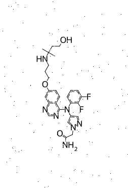 CC(C)(CCO)NCCCOc1ccc2c(N(c3cnn(CC(N)=O)c3)c3cccc(F)c3F)ncnc2c1